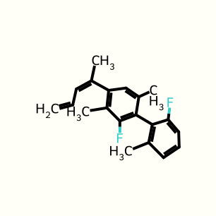 C=C/C=C(/C)c1cc(C)c(-c2c(C)cccc2F)c(F)c1C